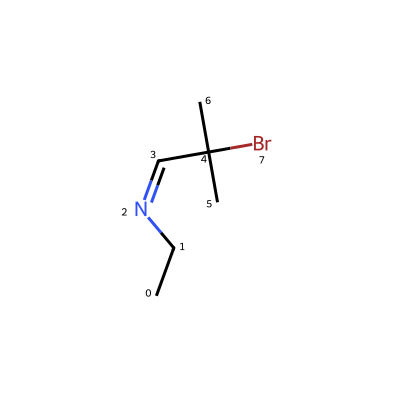 CC/N=C\C(C)(C)Br